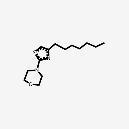 CCCCCCCc1csc(N2CCOCC2)n1